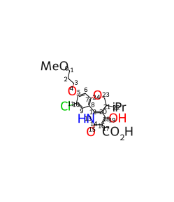 COCCCOc1cc2c(cc1Cl)-c1[nH]c(=O)c(C(=O)O)c(O)c1C(C(C)C)CO2